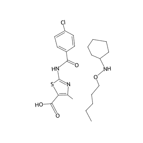 CCCCCONC1CCCCC1.Cc1nc(NC(=O)c2ccc(Cl)cc2)sc1C(=O)O